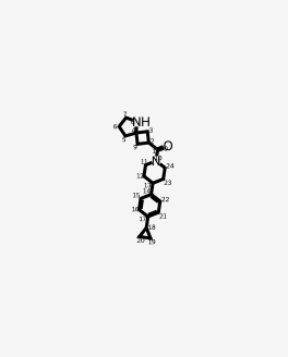 O=C(C1CC2(CCCN2)C1)N1CCC(c2ccc(C3CC3)cc2)CC1